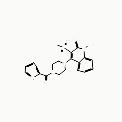 Cn1c(=O)c(S(C)(=O)=O)c(N2CCN(C(=O)c3ccccn3)CC2)c2ccccc21